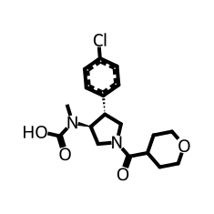 CN(C(=O)O)[C@@H]1CN(C(=O)C2CCOCC2)C[C@H]1c1ccc(Cl)cc1